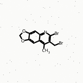 Cc1c(CBr)c(Br)nc2cc3c(cc12)OCO3